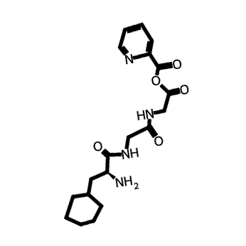 N[C@@H](CC1CCCCC1)C(=O)NCC(=O)NCC(=O)OC(=O)c1ccccn1